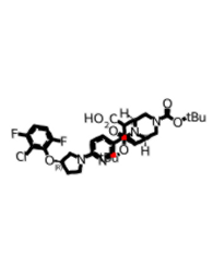 CC(C)(C)OC(=O)N1C[C@H]2C=C(c3ccc(N4CC[C@@H](Oc5c(F)ccc(F)c5Cl)C4)nc3)C(C(=O)O)[C@@H](C1)N2C(=O)OC(C)(C)C